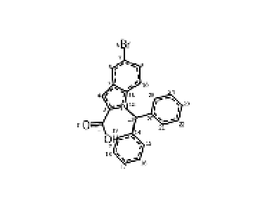 O=C(O)c1cc2cc(Br)ccc2n1C(c1ccccc1)c1ccccc1